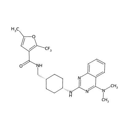 Cc1cc(C(=O)NC[C@H]2CC[C@@H](Nc3nc(N(C)C)c4ccccc4n3)CC2)c(C(F)(F)F)o1